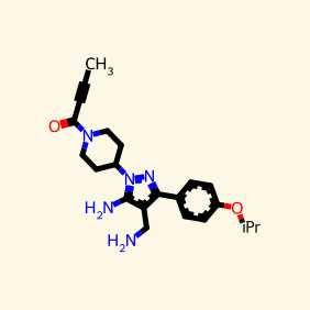 CC#CC(=O)N1CCC(n2nc(-c3ccc(OC(C)C)cc3)c(CN)c2N)CC1